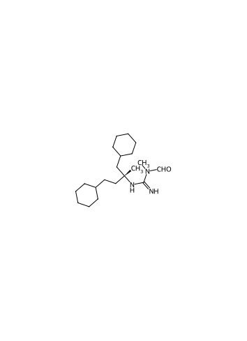 CN(C=O)C(=N)N[C@](C)(CCC1CCCCC1)CC1CCCCC1